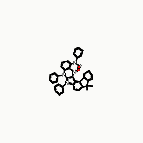 CC1(C)c2ccccc2-c2c1ccc1c2c2c(n1-c1ccccc1)N(c1ccccc1)c1cccc3c1N2c1ccccc1N3c1ccccc1